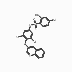 O=S(=O)(Nc1cc(Cl)c(Oc2cnc3ccccc3c2)c(Cl)c1)c1ccc(Cl)cc1O